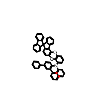 c1ccc(-c2ccc(N(c3ccccc3)c3cccc4c3Oc3ccc5c(c3O4)-c3ccccc3C53c4ccccc4-c4ccccc43)c(-c3ccccc3)c2)cc1